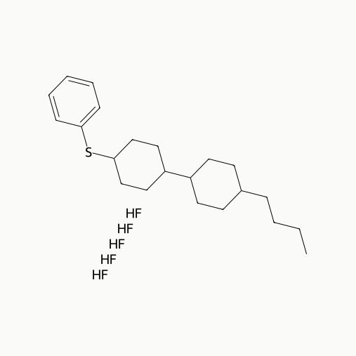 CCCCC1CCC(C2CCC(Sc3ccccc3)CC2)CC1.F.F.F.F.F